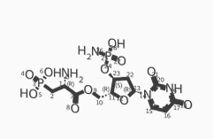 N[C@@H](CP(=O)(O)O)C(=O)OC[C@H]1O[C@@H](n2ccc(=O)[nH]c2=O)C[C@@H]1OP(N)(=O)O